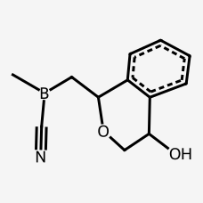 CB(C#N)CC1OCC(O)c2ccccc21